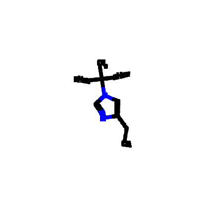 CCCCCCC(C)(CCCCCC)n1cnc(CC#N)c1